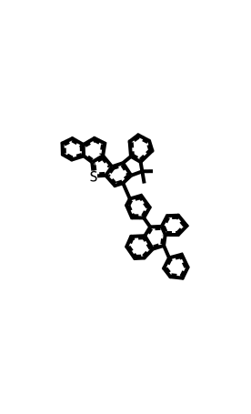 CC1(C)c2ccccc2-c2c1c(-c1ccc(-c3c4ccccc4c(-c4ccccc4)c4ccccc34)cc1)cc1sc3c4ccccc4ccc3c21